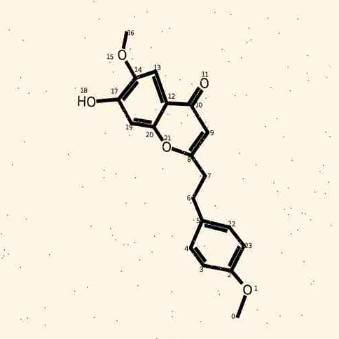 COc1ccc(CCc2cc(=O)c3cc(OC)c(O)cc3o2)cc1